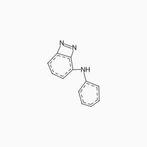 c1ccc(Nc2cccc3c2N=N3)cc1